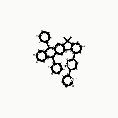 CC1(C)c2cc3c(-c4ccccc4)c4ccccc4c(-c4ccccc4)c3cc2-c2c(C3=CNC(c4ccccn4)C=C3)cccc21